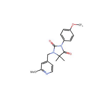 COc1cc(CN2C(=O)N(c3ccc(OC(F)(F)F)cc3)C(=O)C2(C)C)ccn1